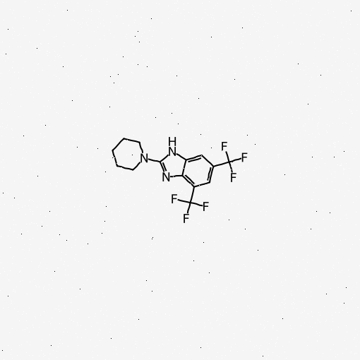 FC(F)(F)c1cc(C(F)(F)F)c2nc(N3CCCCC3)[nH]c2c1